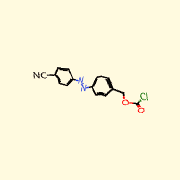 N#Cc1ccc(/N=N/c2ccc(COC(=O)Cl)cc2)cc1